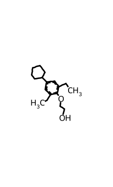 CCc1cc(C2CCCCC2)cc(CC)c1OCCO